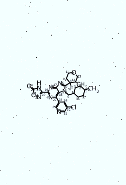 CC1CCC(Cn2c(C3(F)CCOCC3C)nc3nc(-c4noc(=O)[nH]4)nc(-c4cncc(Cl)c4)c32)CC1